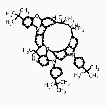 CC(C)(C)c1ccc(N2c3cc4c5cc3B3c6cc7c8cc(cc9c8n(c7cc6C(C)(C)c6cccc2c63)-c2ccc(C(C)(C)C)cc2O9)C(C)(C)CC(C)(C)c2ccc(c5c2)n4-c2ccc(C(C)(C)C)cc2)cc1